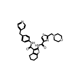 O=C(Nc1sc2c(c1C(=O)Nc1ccc(Cc3ccncc3)cc1)CCCC2)c1csc(CN2CCOCC2)n1